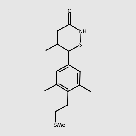 CSCCc1c(C)cc(C2SNC(=O)CC2C)cc1C